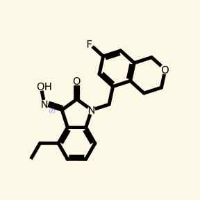 CCc1cccc2c1/C(=N/O)C(=O)N2Cc1cc(F)cc2c1CCOC2